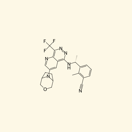 Cc1c(C#N)cccc1[C@@H](C)Nc1nnc(C(F)(F)F)c2ncc(N3C4CCC3COC4)cc12